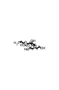 C=CCOCC=C.O=S(=O)(O)O.OCCN(CCO)CCO